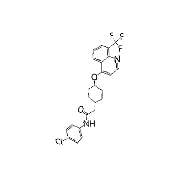 O=C(C[C@H]1CC[C@H](Oc2ccnc3c(C(F)(F)F)cccc23)CC1)Nc1ccc(Cl)cc1